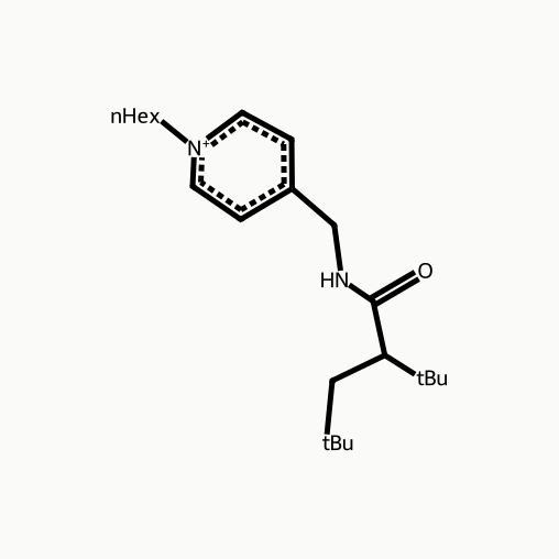 CCCCCC[n+]1ccc(CNC(=O)C(CC(C)(C)C)C(C)(C)C)cc1